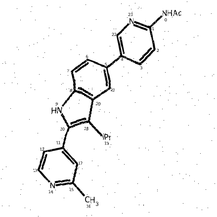 CC(=O)Nc1ccc(-c2ccc3[nH]c(-c4ccnc(C)c4)c(C(C)C)c3c2)cn1